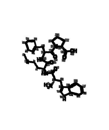 CSCC[C@H](NC(=O)[C@@H](N)Cc1c[nH]c2ccccc12)C(=O)N[C@@H](Cc1ccccc1)C(=O)N1CCC[C@H]1C(=O)O